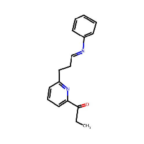 CCC(=O)c1cccc(CCC=Nc2ccccc2)n1